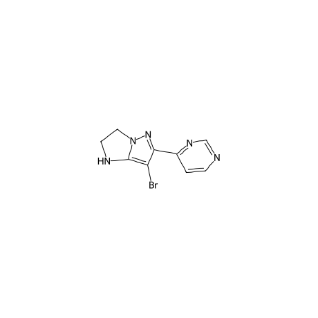 Brc1c(-c2ccncn2)nn2c1NCC2